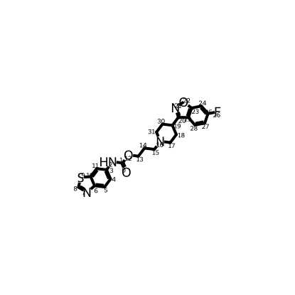 O=C(Nc1ccc2ncsc2c1)OCCCN1CCC(c2noc3cc(F)ccc23)CC1